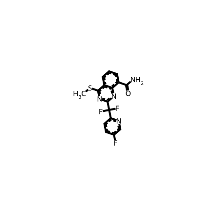 CSc1nc(C(F)(F)c2ccc(F)cn2)nc2c(C(N)=O)cccc12